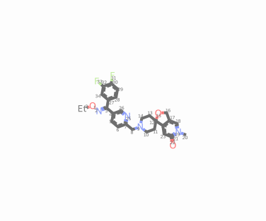 CCO/N=C(/c1ccc(CN2CCC3(CC2)OCc2cn(C)c(=O)cc23)nc1)c1ccc(F)c(F)c1